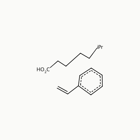 C=Cc1ccccc1.CC(C)CCCCC(=O)O